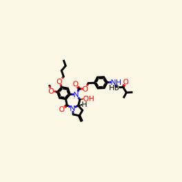 C=C1C[C@H]2[C@H](O)N(C(=O)OCc3ccc(NBC(=O)C(C)C)cc3)c3cc(OCCCC)c(OC)cc3C(=O)N2C1